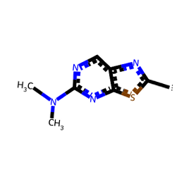 [C]c1nc2cnc(N(C)C)nc2s1